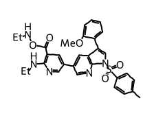 CCNOC(=O)c1cc(-c2cnc3c(c2)c(-c2ccccc2OC)cn3S(=O)(=O)c2ccc(C)cc2)cnc1NCC